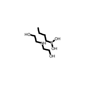 CCCCB(O)O.OCCNCCO